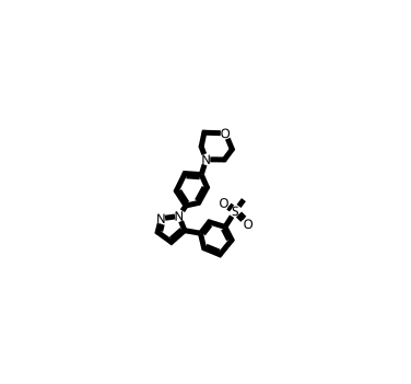 CS(=O)(=O)c1cccc(-c2ccnn2-c2ccc(N3CCOCC3)cc2)c1